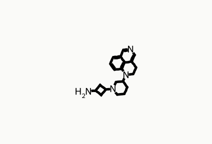 NC1CC(N2CCCC(N3CCc4cncc5cccc3c45)C2)C1